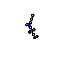 c1ccc(-c2ccc(-c3ccc4c(c3)c3ccccc3n4-c3ccc(-c4c5ccccc5c(-c5ccc(-c6cccc7ccccc67)cc5)c5ccccc45)cc3)cc2)cc1